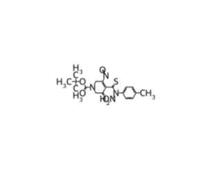 Cc1ccc(N(N)C(=S)C2=C(N=O)CN(C(=O)OC(C)(C)C)CC2=O)cc1